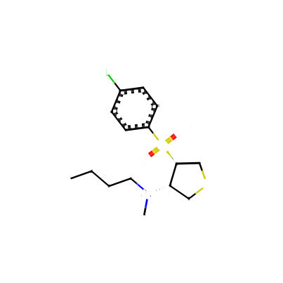 CCCCN(C)[C@H]1CSC[C@@H]1S(=O)(=O)c1ccc(Cl)cc1